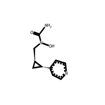 NC(=O)N(O)C[C@@H]1C[C@H]1c1ccncc1